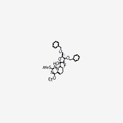 CCOC1=NC(SC)=NN2C1=CCCC2[C@]1(O)O/C(=C\OCc2ccccc2)[C@@H](OCc2ccccc2)[C@H]1F